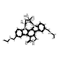 CCSCc1ccc2c(c1)c1c3c(c4c5cc(CSCC)ccc5n5c4c1n2[C@H]1C[C@](O)(I)[C@]5(C)O1)CNC3=O